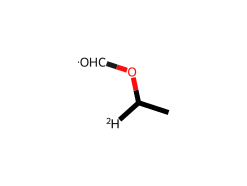 [2H]C(C)O[C]=O